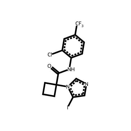 O=C(Nc1ccc(C(F)(F)F)cc1Cl)C1(n2cncc2I)CCC1